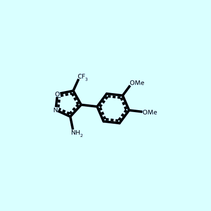 COc1ccc(-c2c(N)noc2C(F)(F)F)cc1OC